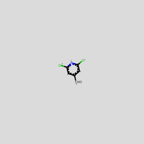 O=[C]c1cc(Cl)nc(Cl)c1